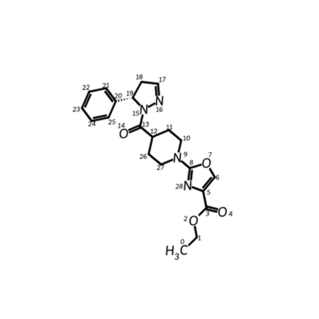 CCOC(=O)c1coc(N2CCC(C(=O)N3N=CC[C@H]3c3ccccc3)CC2)n1